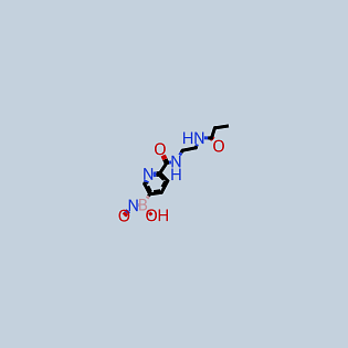 CCC(=O)NCCNC(=O)c1ccc(B(O)N=O)cn1